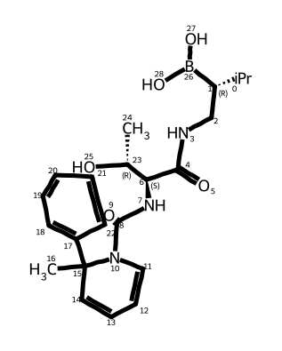 CC(C)[C@H](CNC(=O)[C@@H](NC(=O)N1C=CC=CC1(C)c1ccccc1)[C@@H](C)O)B(O)O